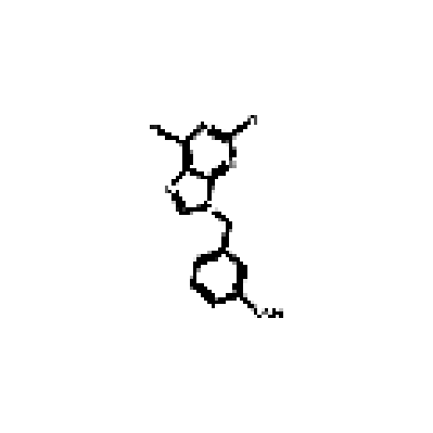 COc1cccc(Cn2cnc3c(Cl)nc(Cl)nc32)c1